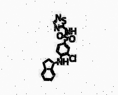 O=S(=O)(Nc1ncns1)c1ccc(N[C@@H]2CCc3ccccc32)c(Cl)c1